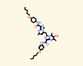 CCCCCOc1ccc(NC(=O)c2nc(Cc3cc(C)nc4c(C(=O)NC5CCC(OCCCCC)CC5)ncn34)n3c(C)c(OC)c(C)nc23)cc1